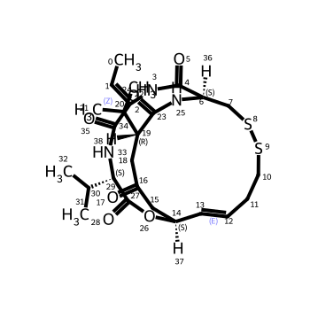 C/C=C1\NC(=O)[C@H]2CSSCC/C=C/[C@H](CC(=O)C[C@H](C(C)C)C(=O)N2)OC(=O)[C@H](C(C)C)NC1=O